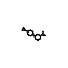 CNC1CCC[C@@H](N2CCN(C3CC3)CC2)C1